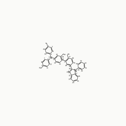 Cc1ccc(N(c2ccc(C)cc2)c2ccc(-c3cc(-c4nc5ccccc5n4-c4ccccc4)ccc3C)c(C)c2)cc1